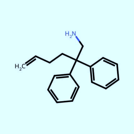 C=CCCC(CN)(c1ccccc1)c1ccccc1